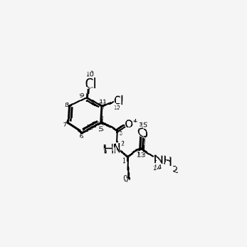 CC(NC(=O)c1cccc(Cl)c1Cl)C(N)=O